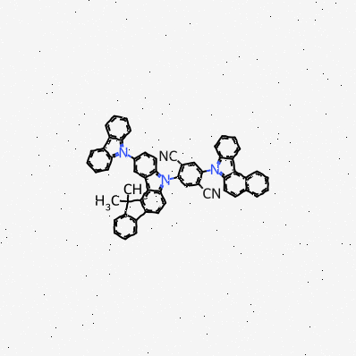 CC1(C)c2ccccc2-c2ccc3c(c21)c1cc(-n2c4ccccc4c4ccccc42)ccc1n3-c1cc(C#N)c(-n2c3ccccc3c3c4ccccc4ccc32)cc1C#N